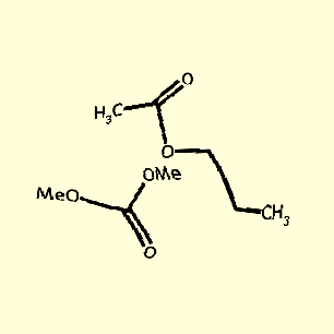 CCCOC(C)=O.COC(=O)OC